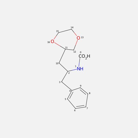 O=C(O)NC(Cc1ccccc1)CC1COCCO1